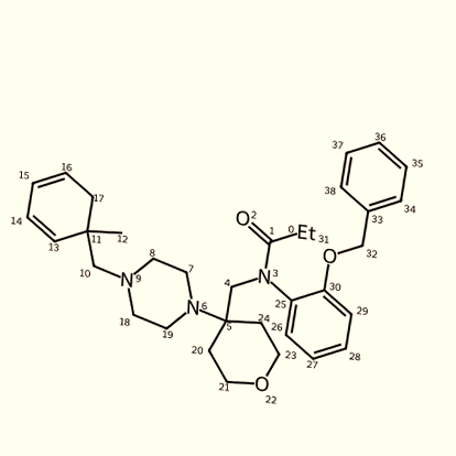 CCC(=O)N(CC1(N2CCN(CC3(C)C=CC=CC3)CC2)CCOCC1)c1ccccc1OCc1ccccc1